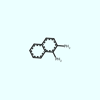 Pc1ccc2ccccc2c1P